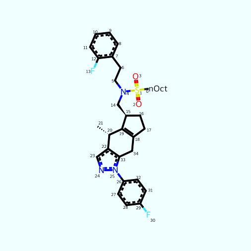 CCCCCCCCS(=O)(=O)N(CCc1ccccc1F)C[C@H]1CCC2=C1[C@@H](C)c1cnn(-c3ccc(F)cc3)c1C2